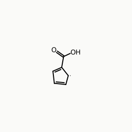 O=C(O)C1=CC=C[CH]1